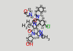 Cc1c(C(=O)N(c2ccc(O)cc2)c2cnn(C)c2)cc(-c2cc(Cl)ccc2C(=O)N2Cc3ccccc3C[C@H]2CN2CCOCC2)n1C